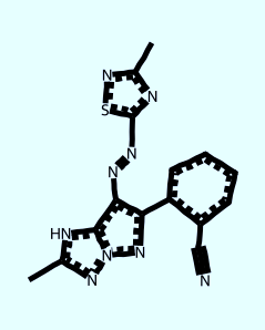 Cc1nsc(/N=N/c2c(-c3ccccc3C#N)nn3nc(C)[nH]c23)n1